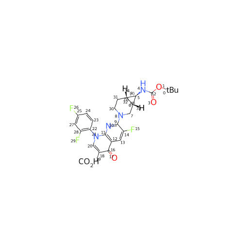 CC(C)(C)OC(=O)N[C@H]1[C@@H]2CN(c3nc4c(cc3F)c(=O)c(C(=O)O)cn4-c3ccc(F)cc3F)CC[C@@H]21